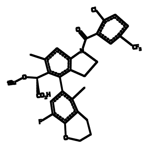 Cc1cc2c(c(-c3cc(F)c4c(c3C)CCCO4)c1[C@H](OC(C)(C)C)C(=O)O)CCN2C(=O)c1cc(C(F)(F)F)ccc1Cl